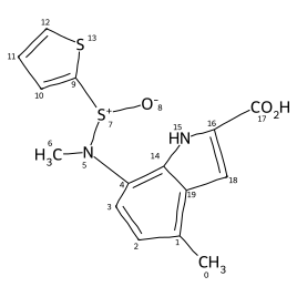 Cc1ccc(N(C)[S+]([O-])c2cccs2)c2[nH]c(C(=O)O)cc12